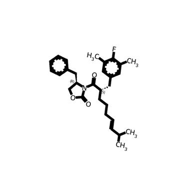 Cc1cc(C[C@H](CCCC=CC(C)C)C(=O)N2C(=O)OC[C@H]2Cc2ccccc2)cc(C)c1F